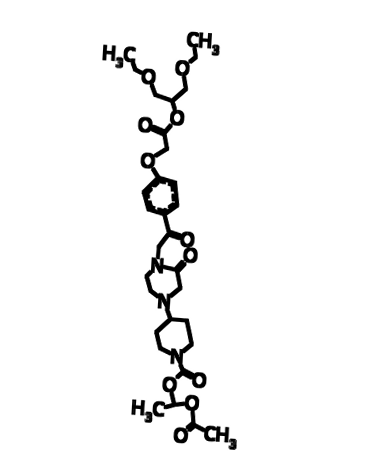 CCOCC(COCC)OC(=O)COc1ccc(C(=O)CN2CCN(C3CCN(C(=O)OC(C)OC(C)=O)CC3)CC2=O)cc1